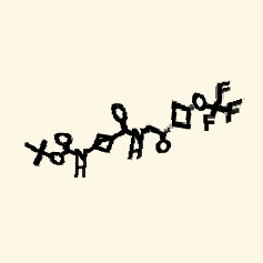 CC(C)(C)OC(=O)NC12CC(C(=O)NCC(=O)[C@H]3C[C@@H](OC(F)(F)F)C3)(C1)C2